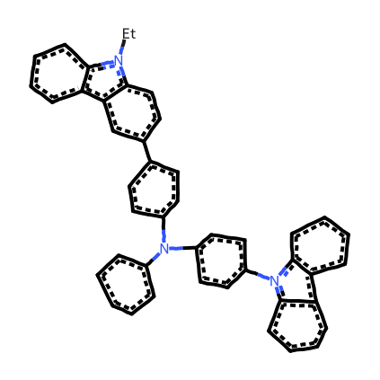 CCn1c2ccccc2c2cc(-c3ccc(N(c4ccccc4)c4ccc(-n5c6ccccc6c6ccccc65)cc4)cc3)ccc21